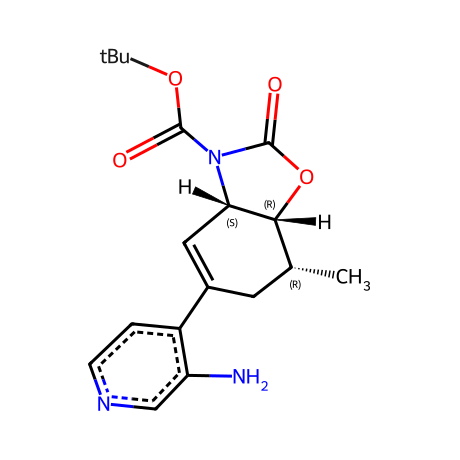 C[C@@H]1CC(c2ccncc2N)=C[C@H]2[C@@H]1OC(=O)N2C(=O)OC(C)(C)C